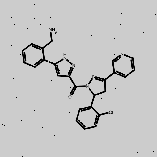 NCc1ccccc1-c1cc(C(=O)N2N=C(c3cccnc3)CC2c2ccccc2O)n[nH]1